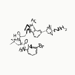 CC(=O)c1nn(CC(=O)N2[C@H](C(=O)Nc3cccc(Br)n3)CC3(C)C[C@@H]23)c2ccc(-c3cnc(N)nc3)cc12